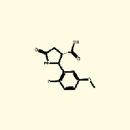 COc1ccc(F)c(C2NC(=O)C[C@@H]2C(=O)O)c1